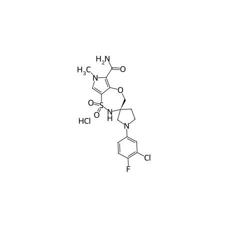 Cl.Cn1cc2c(c1C(N)=O)OC[C@]1(CCN(c3ccc(F)c(Cl)c3)C1)NS2(=O)=O